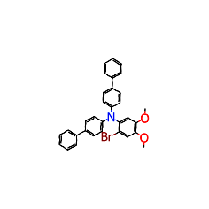 COc1cc(Br)c(N(c2ccc(-c3ccccc3)cc2)c2ccc(-c3ccccc3)cc2)cc1OC